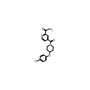 NC(=O)c1cc(C(=O)N2CCC(Oc3ccc(Cl)cc3)CC2)ccn1